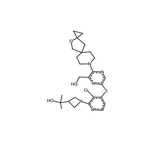 CC(C)(O)C1CN(c2nccc(Sc3cnc(N4CCC5(CC4)COC4(CC4)C5)c(CO)n3)c2Cl)C1